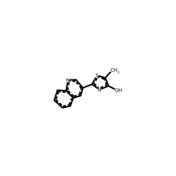 Cc1sc(-c2cnc3ccccc3c2)nc1O